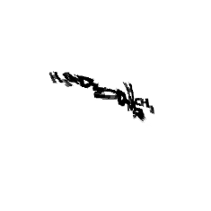 Cc1[nH]c(-c2ccc(OCCCC3CCN(C)CC3)cc2)nc1-c1cccs1